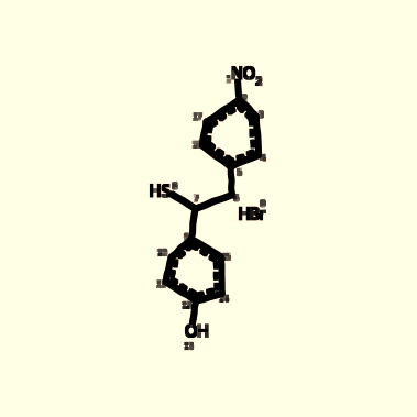 Br.O=[N+]([O-])c1ccc(CC(S)c2ccc(O)cc2)cc1